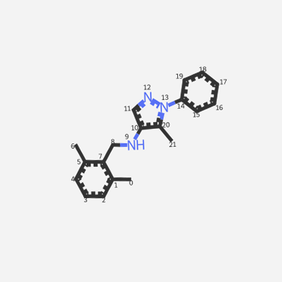 Cc1cccc(C)c1CNc1cnn(-c2ccccc2)c1C